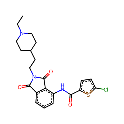 CCN1CCC(CCN2C(=O)c3cccc(NC(=O)c4ccc(Cl)s4)c3C2=O)CC1